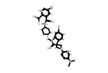 CN(C)c1ccc(N2CC3(C2)C(=O)N(C[C@H]2CC[C@H](NC(=O)c4cc(Cl)cnc4C(F)F)CC2)c2cc(F)ccc23)nc1